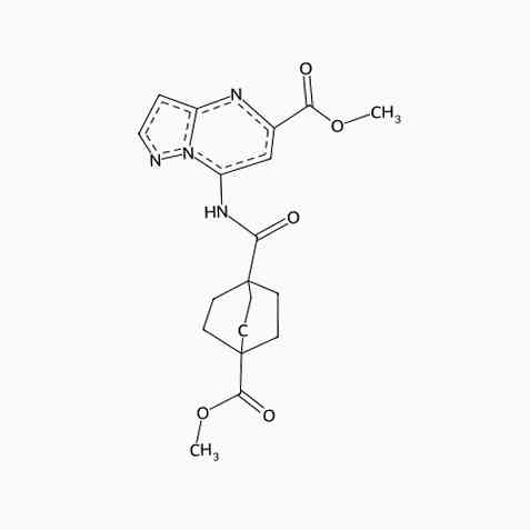 COC(=O)c1cc(NC(=O)C23CCC(C(=O)OC)(CC2)CC3)n2nccc2n1